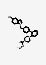 CC(C)(C)OC(=O)N1CCN(c2ccccc2-c2ccc(Cn3ccc4cc(Br)ccc43)cc2)CC1